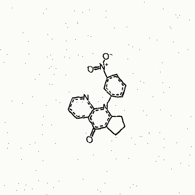 O=c1c2c(n(-c3cccc([N+](=O)[O-])c3)c3ncccc13)CCC2